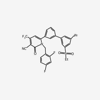 CCS(=O)(=O)c1cc(-c2cccc(-c3cc(C(F)(F)F)c(C#N)c(=O)n3Cc3ccc(F)cc3F)c2)cc(C(C)C)c1